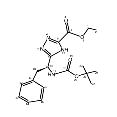 CCOC(=O)c1nnc([C@H](Cc2ccccc2)NC(=O)OC(C)(C)C)[nH]1